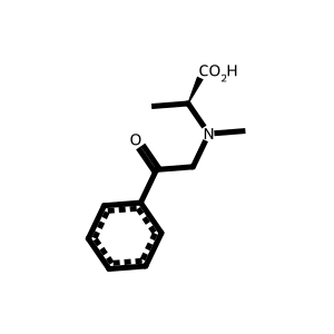 C[C@@H](C(=O)O)N(C)CC(=O)c1ccccc1